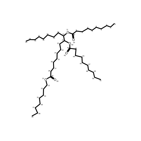 CCCCCCCCCC(=O)OC(CCCCCCCC)C(CCCCCCCC(=O)OCCCCCCCC)OC(=O)CCCCCCCCC